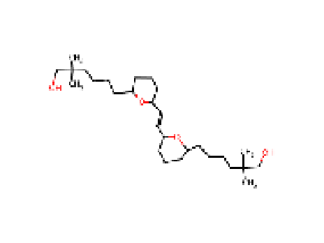 CC(C)(CO)CCCCC1CCCC(C=CC2CCCC(CCCCC(C)(C)CO)O2)O1